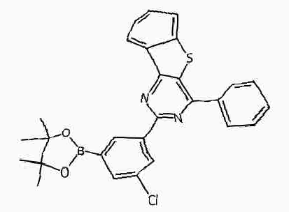 CC1(C)OB(c2cc(Cl)cc(-c3nc(-c4ccccc4)c4sc5ccccc5c4n3)c2)OC1(C)C